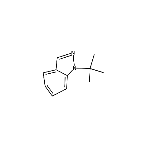 CC(C)(C)n1ncc2ccccc21